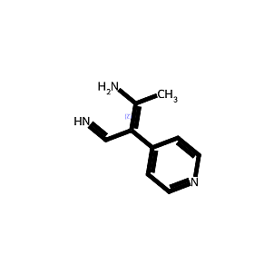 C/C(N)=C(/C=N)c1ccncc1